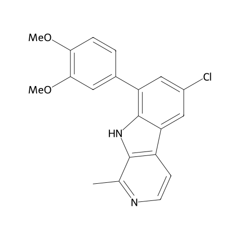 COc1ccc(-c2cc(Cl)cc3c2[nH]c2c(C)nccc23)cc1OC